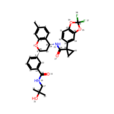 Cc1ccc2c(c1)O[C@@H](c1cccc(C(=O)NCC(C)(C)O)c1)C[C@H]2NC(=O)C1(c2ccc3c(c2)OC(F)(F)O3)CC1